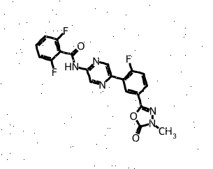 Cn1nc(-c2ccc(F)c(-c3cnc(NC(=O)c4c(F)cccc4F)cn3)c2)oc1=O